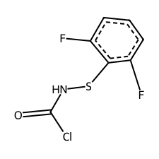 O=C(Cl)NSc1c(F)cccc1F